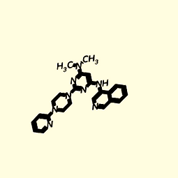 CN(C)c1cc(Nc2cncc3ccccc23)nc(N2CCN(c3ccccn3)CC2)n1